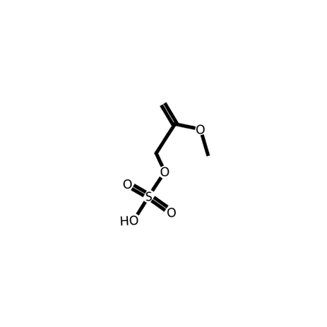 C=C(COS(=O)(=O)O)OC